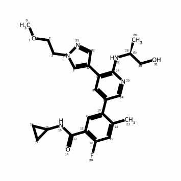 COCCn1cc(-c2cc(-c3cc(C(=O)NC4CC4)c(F)cc3C)cnc2N[C@@H](C)CO)cn1